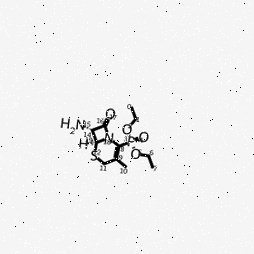 CCOP(=O)(OCC)C1=C(C)CS[C@H]2[C@H](N)C(=O)N12